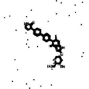 O=C1NCCC1c1ccc(-c2ccc(-c3c(F)cc4[nH]c(O[C@H]5CO[C@H](CO)[C@@H](O)C5)nc4c3F)cc2)cc1